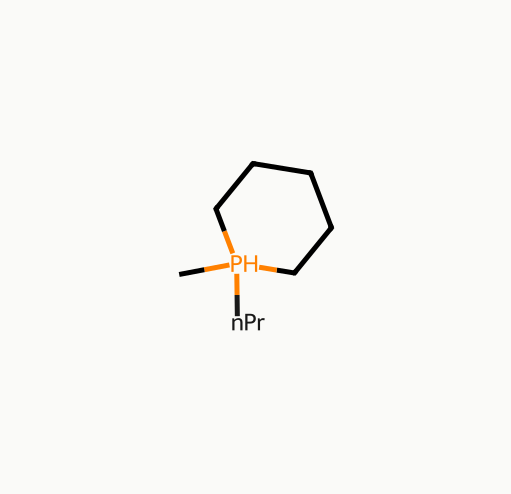 CCC[PH]1(C)CCCCC1